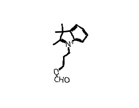 CC1=[N+](CCCOC=O)c2ccccc2C1(C)C